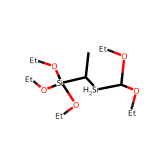 CCOC(OCC)[SiH2]C(C)[Si](OCC)(OCC)OCC